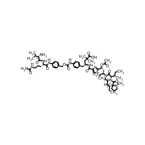 CCCCCCN(C(=O)[C@@H](NC(=O)[C@@]1(C)CCCN1C)[C@@H](C)CC)[C@H](C[C@@H](OC(C)=O)c1nc(C(=O)N[C@@H](Cc2ccc(NC(=O)OCc3ccc(NC(=O)[C@H](CCCNC(N)=O)NC(=O)[C@@H](N)C(C)C)cc3)cc2)CC(C)(C)C(=O)O)cs1)C(C)C